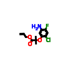 C=CCOC(=O)C(C)(C)Oc1cc(N)c(F)cc1Cl